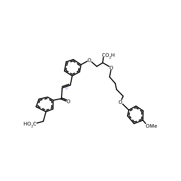 COc1ccc(OCCCCOC(COc2cccc(/C=C/C(=O)c3cccc(CC(=O)O)c3)c2)C(=O)O)cc1